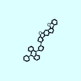 c1ccc(-c2c3ccccc3c(-c3cccc(-c4ccc5oc6cc7c(ccc8c9ccccc9oc78)cc6c5c4)c3)c3ccccc23)cc1